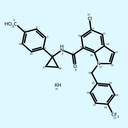 O=C(O)c1ccc(C2(NC(=O)c3cc(Cl)cc4ccn(Cc5ccc(C(F)(F)F)cc5)c34)CC2)cc1.[KH]